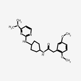 COc1ccc(OC)c(CC(=O)NC2CCC(Nc3nccc(N(C)C)n3)CC2)c1